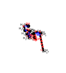 CC[C@H](C)[C@@H]([C@@H](CC(=O)N1CCC[C@H]1C[C@@H](C)C(=O)N[C@H](C)[C@@H](O)c1ccccc1)OC)N(C)C(=O)[C@@H](NC(=O)[C@H](C(C)C)N(C)C(=O)OCc1ccc(NC(=O)[C@H](C)NC(=O)[C@@H](NC(=O)CCOCCOCCOCCOCCC(=O)C(C)C)C(C)C)c(O[C@@H]2O[C@H](C(=O)O)[C@@H](O)[C@H](O)[C@H]2O)c1)C(C)C